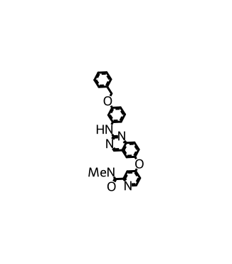 CNC(=O)c1cc(Oc2ccc3nc(Nc4cccc(OCc5ccccc5)c4)ncc3c2)ccn1